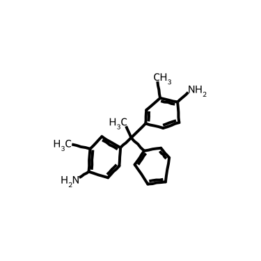 Cc1cc(C(C)(c2ccccc2)c2ccc(N)c(C)c2)ccc1N